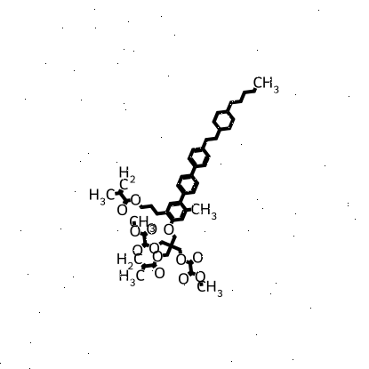 C=C(C)C(=O)OCCCc1cc(-c2ccc(-c3ccc(CCC4CCC(CCCCC)CC4)cc3)cc2)c(C)cc1OCC(COC(=O)C(=C)C)(COC(=O)C(=O)OC)COC(=O)C(=O)OC